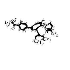 CCC(CC)c1cc(-c2ccc(C(=O)OC)cc2)ccc1-n1ccc(C)n1